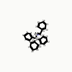 C(=N\[Si](c1ccccc1)(c1ccccc1)c1ccccc1)/c1ccccc1